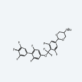 CCCCC1COC(c2cc(F)c(C(F)(F)Oc3cc(F)c(-c4cc(F)c(F)c(F)c4)c(F)c3)c(F)c2)OC1